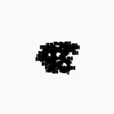 COC(=O)[C@H]1CC[C@H]2NC(=O)[C@H](NC(=O)[C@@H]3NC(=O)[C@H]4NC(=O)[C@H](NC(=O)[C@H](N)c5ccc(O)c(c5)Oc5cc4cc(O)c5C)[C@H](O)c4ccc5c(c4)Cc4c(c(O[C@H]6O[C@@H](CO[C@H]7O[C@H](C)[C@@H](O)[C@H](O)[C@@H]7O)[C@H](O)[C@@H](O)[C@@H]6O[C@@H]6O[C@@H](CO)[C@H](O)[C@@H](O)[C@H]6O[C@H]6OC[C@H](O)[C@H](O)[C@H]6O)c6c(c43)Cc3cc(ccc3O6)[C@H]2O[C@@H]2C[C@@H](N)[C@@H](O)[C@H](C)O2)O5)c2ccc(O)c(c2)-c2c(O[C@@H]3O[C@H](CO)[C@@H](O)[C@H](O)[C@@H]3O)cc(O)cc21